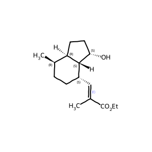 CCOC(=O)/C(C)=C/[C@@H]1CC[C@@H](C)[C@H]2CC[C@H](O)[C@@H]21